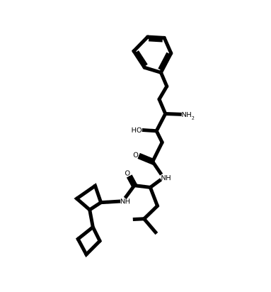 CC(C)CC(NC(=O)CC(O)C(N)CCc1ccccc1)C(=O)NC1CCC1C1CCC1